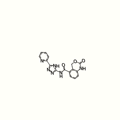 O=C1Nc2cccc(C(=O)Nc3nnc(-c4ccccn4)[nH]3)c2CO1